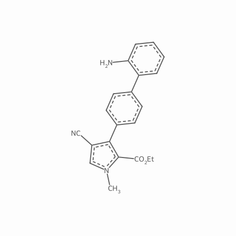 CCOC(=O)c1c(-c2ccc(-c3ccccc3N)cc2)c(C#N)cn1C